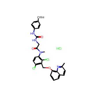 COc1ccc(NC(=O)NCC(=O)N(C)c2ccc(Cl)c(COc3cccc4ccc(C)nc34)c2Cl)cc1.Cl